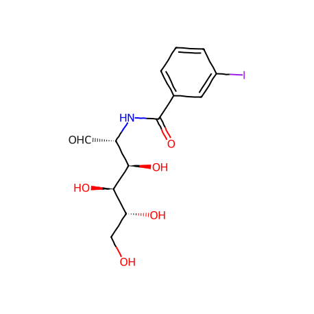 O=C[C@H](NC(=O)c1cccc(I)c1)[C@@H](O)[C@H](O)[C@H](O)CO